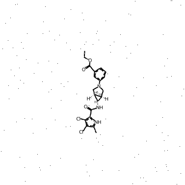 CCOC(=O)c1cccc(N2C[C@@H]3[C@H](C2)[C@H]3NC(=O)c2[nH]c(C)c(Cl)c2Cl)c1